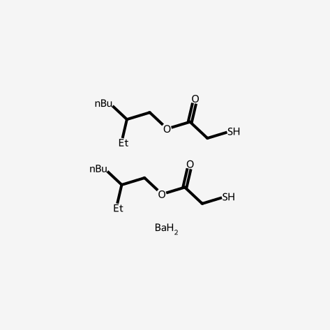 CCCCC(CC)COC(=O)CS.CCCCC(CC)COC(=O)CS.[BaH2]